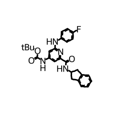 CC(C)(C)OC(=O)Nc1cc(Nc2ccc(F)cc2)nc(C(=O)NC2Cc3ccccc3C2)c1